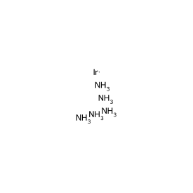 N.N.N.N.N.[Ir]